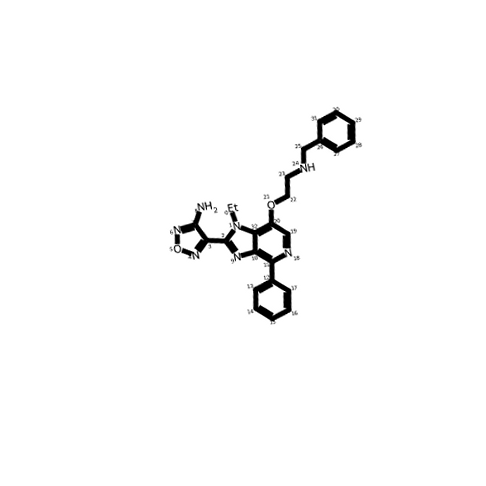 CCn1c(-c2nonc2N)nc2c(-c3ccccc3)ncc(OCCNCc3ccccc3)c21